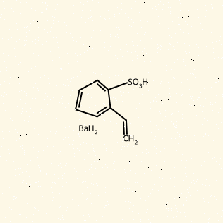 C=Cc1ccccc1S(=O)(=O)O.[BaH2]